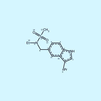 [CH2]CCc1c[nH]c2ccc(CN(CC)S(C)(=O)=O)cc12